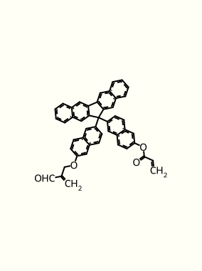 C=CC(=O)Oc1ccc2cc(C3(c4ccc5cc(OCC(=C)C=O)ccc5c4)c4cc5ccccc5cc4-c4cc5ccccc5cc43)ccc2c1